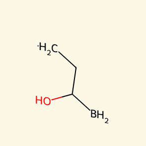 BC(O)C[CH2]